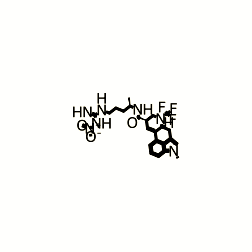 C[C@H](CCCNC(=N)N[N+](=O)[O-])NC(=O)[C@@H]1C=C2c3cccc4c3c(cn4C)C[C@H]2N(C(F)(F)F)C1